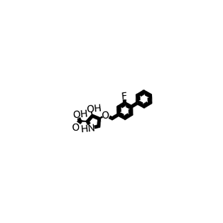 O=C(O)[C@@H]1NC[C@H](OCc2ccc(-c3ccccc3)c(F)c2)[C@H]1O